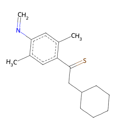 C=Nc1cc(C)c(C(=S)CC2CCCCC2)cc1C